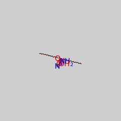 CCCCCCCCCCCCCCCCOCC(COP(O)OCC[N+](C)(C)C)CC(N)CCCCCCCCCCCCCCCC